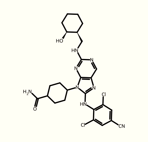 N#Cc1cc(Cl)c(Nc2nc3cnc(NC[C@@H]4CCCC[C@@H]4O)nc3n2C2CCC(C(N)=O)CC2)c(Cl)c1